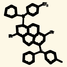 Cc1ccc(N(c2ccccc2)c2cc(C(C)C)c3ccc4c(N(c5ccccc5)c5ccc(C(F)(F)F)cc5)cc(C(C)C)c5ccc2c3c54)cc1